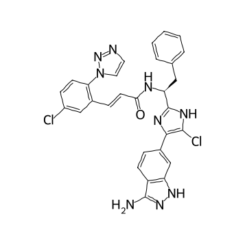 Nc1n[nH]c2cc(-c3nc([C@H](Cc4ccccc4)NC(=O)/C=C/c4cc(Cl)ccc4-n4ccnn4)[nH]c3Cl)ccc12